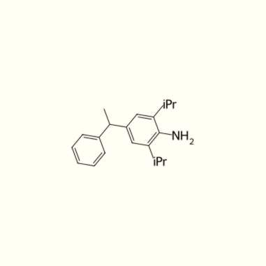 CC(C)c1cc(C(C)c2ccccc2)cc(C(C)C)c1N